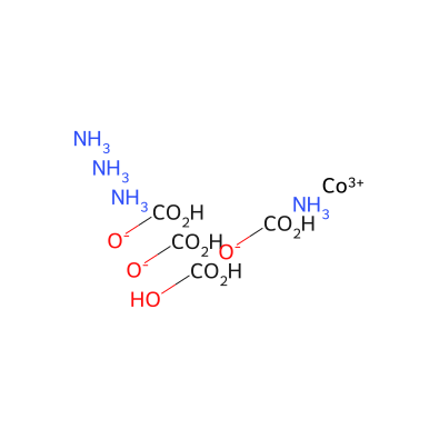 N.N.N.N.O=C(O)O.O=C([O-])O.O=C([O-])O.O=C([O-])O.[Co+3]